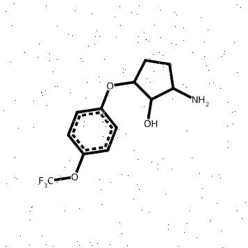 NC1CCC(Oc2ccc(OC(F)(F)F)cc2)C1O